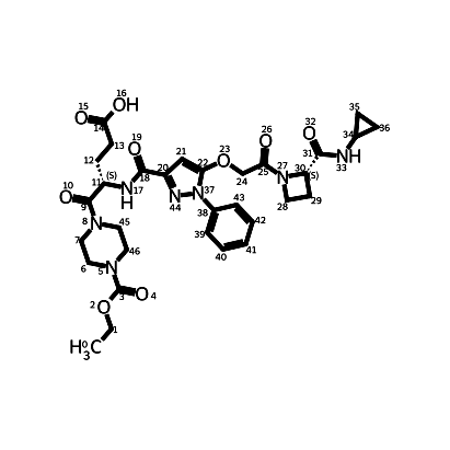 CCOC(=O)N1CCN(C(=O)[C@H](CCC(=O)O)NC(=O)c2cc(OCC(=O)N3CC[C@H]3C(=O)NC3CC3)n(-c3ccccc3)n2)CC1